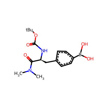 CN(C)C(=O)[C@H](Cc1ccc(B(O)O)cc1)NC(=O)OC(C)(C)C